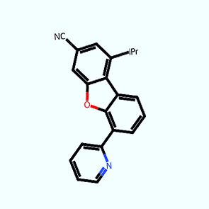 CC(C)c1cc(C#N)cc2oc3c(-c4ccccn4)cccc3c12